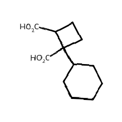 O=C(O)C1CCC1(C(=O)O)C1CCCCC1